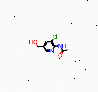 CC(=O)Nc1ncc(CO)cc1Cl